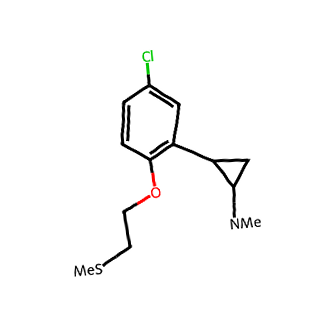 CNC1CC1c1cc(Cl)ccc1OCCSC